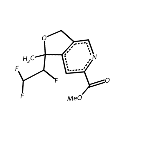 COC(=O)c1cc2c(cn1)COC2(C)C(F)C(F)F